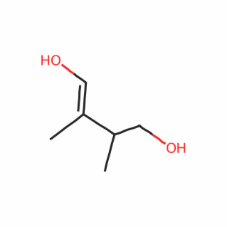 C/C(=C\O)C(C)CO